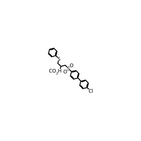 O=C(O)C(CSc1ccccc1)CS(=O)(=O)c1ccc(-c2ccc(Cl)cc2)cc1